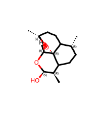 C[C@@H]1CCC2[C@@H](C)[C@@H](O)O[C@@H]3O[C@]4(C)CCC1[C@@]23OO4